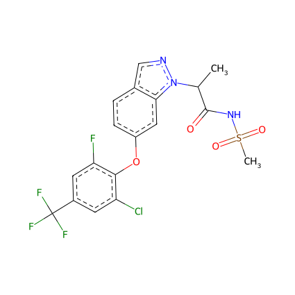 CC(C(=O)NS(C)(=O)=O)n1ncc2ccc(Oc3c(F)cc(C(F)(F)F)cc3Cl)cc21